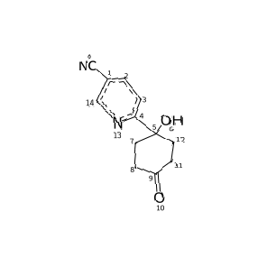 N#Cc1ccc(C2(O)CCC(=O)CC2)nc1